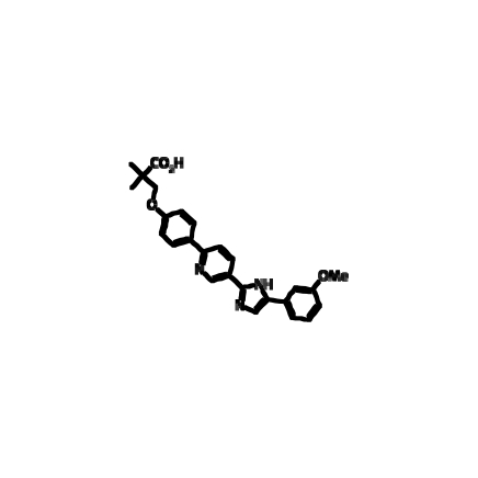 COc1cccc(-c2cnc(-c3ccc(-c4ccc(OCC(C)(C)C(=O)O)cc4)nc3)[nH]2)c1